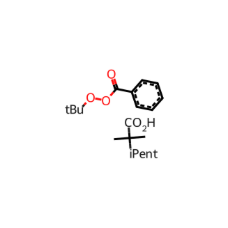 CC(C)(C)OOC(=O)c1ccccc1.CCCC(C)C(C)(C)C(=O)O